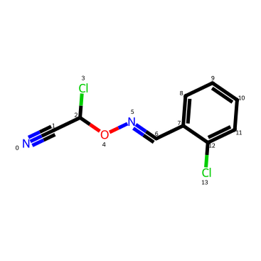 N#CC(Cl)ON=Cc1ccccc1Cl